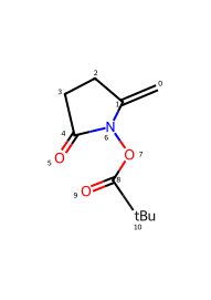 C=C1CCC(=O)N1OC(=O)C(C)(C)C